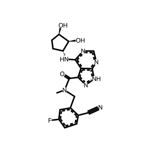 CN(Cc1cc(F)ccc1C#N)C(=O)c1n[nH]c2ncnc(N[C@@H]3CC[C@@H](O)[C@H]3O)c12